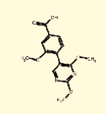 COc1ncc(-c2ccc(C(=O)O)cc2OC)c(OC)n1